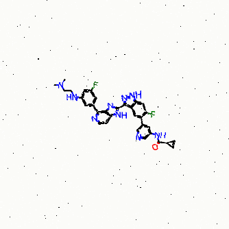 CN(C)CCNc1cc(F)cc(-c2nccc3[nH]c(-c4n[nH]c5cc(F)c(-c6cncc(NC(=O)C7CC7)c6)cc45)nc23)c1